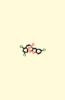 O=c1oc2ccc(Cl)cc2cc1S(=O)(=O)/C=C\c1ccc(Cl)cc1Cl